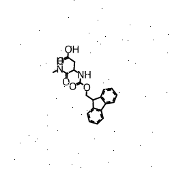 CNC(=O)C(CC(=O)O)NC(=O)OCC1c2ccccc2-c2ccccc21